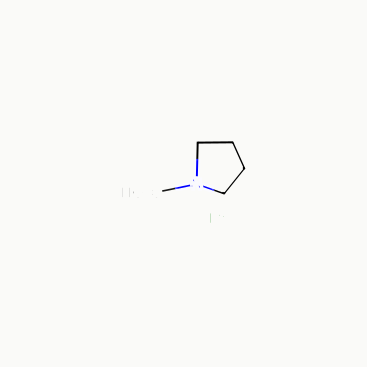 Br.O=C(O)N1CCCC1